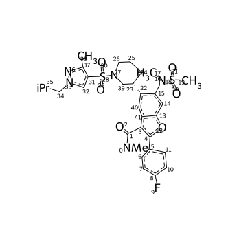 CNC(=O)c1c(-c2ccc(F)cc2)oc2cc(N(C)S(C)(=O)=O)c([C@H]3CCCN(S(=O)(=O)c4cn(CC(C)C)nc4C)C3)cc12